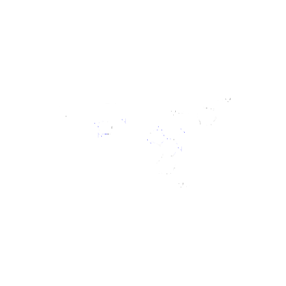 COc1ccc(CNc2nc3cc(OC)c(F)cc3c3nc(C4CCC(C)N(c5cnn(C6CCC7(CC6)OCCO7)c5)C4)nn23)c(OC)c1